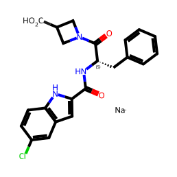 O=C(N[C@@H](Cc1ccccc1)C(=O)N1CC(C(=O)O)C1)c1cc2cc(Cl)ccc2[nH]1.[Na]